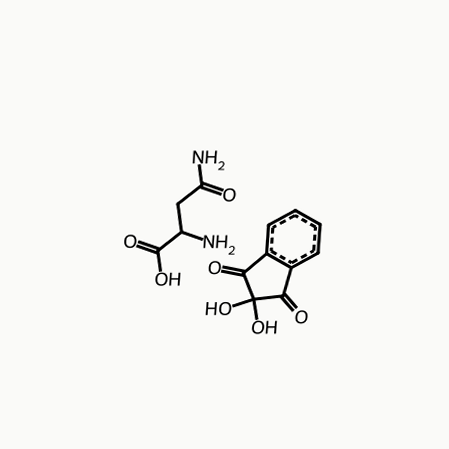 NC(=O)CC(N)C(=O)O.O=C1c2ccccc2C(=O)C1(O)O